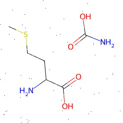 CSCCC(N)C(=O)O.NC(=O)O